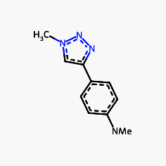 CNc1ccc(-c2cn(C)nn2)cc1